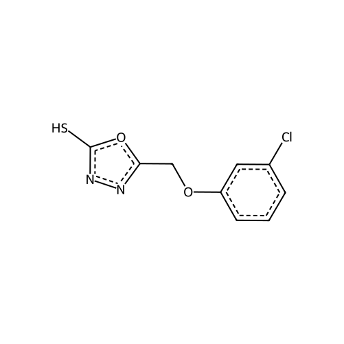 Sc1nnc(COc2cccc(Cl)c2)o1